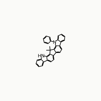 CC1(C)c2c(ccc3c2[nH]c2ccccc23)-c2ccc3c4ccccc4n(-c4ccccc4)c3c21